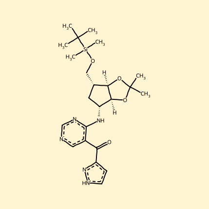 CC1(C)O[C@@H]2[C@@H](CO[Si](C)(C)C(C)(C)C)C[C@@H](Nc3ncncc3C(=O)c3cc[nH]n3)[C@@H]2O1